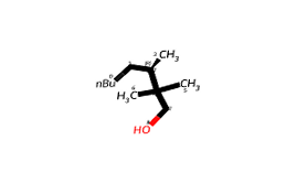 CCCCC[C@@H](C)C(C)(C)CO